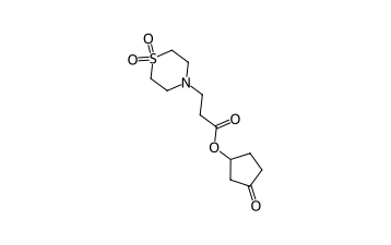 O=C1CCC(OC(=O)CCN2CCS(=O)(=O)CC2)C1